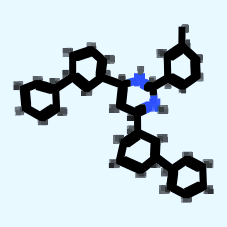 Cc1cccc(-c2nc(-c3cccc(-c4ccccc4)c3)cc(-c3cccc(-c4ccccc4)c3)n2)c1